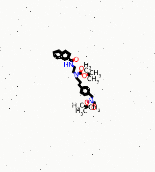 CC(C)(C)OC(=O)N(CCCc1ccc(CN(C=O)OC(C)(C)C)cc1)CCNC(=O)c1ccc2ccccc2c1